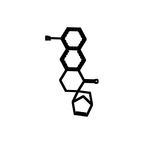 CCc1cccc2cc3c(cc12)CCC1(CC2C=CC1C2)C3=O